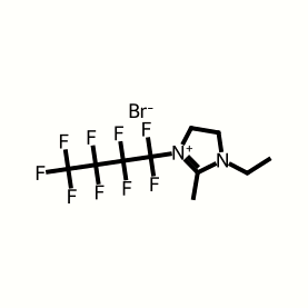 CCN1CC[N+](C(F)(F)C(F)(F)C(F)(F)C(F)(F)F)=C1C.[Br-]